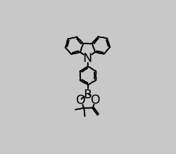 C=C1OB(c2ccc(-n3c4ccccc4c4ccccc43)cc2)OC1(C)C